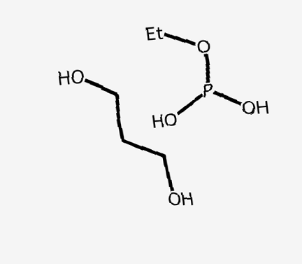 CCOP(O)O.OCCCO